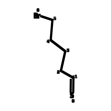 S=[C]CCCCBr